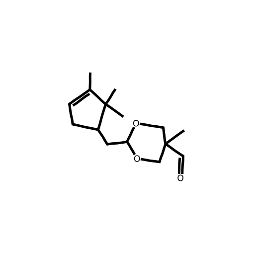 CC1=CCC(CC2OCC(C)(C=O)CO2)C1(C)C